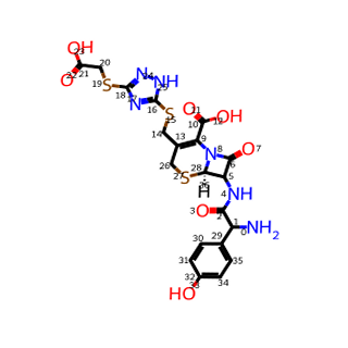 NC(C(=O)NC1C(=O)N2C(C(=O)O)=C(CSc3nc(SCC(=O)O)n[nH]3)CS[C@H]12)c1ccc(O)cc1